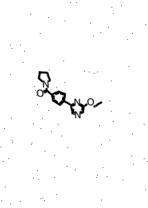 CCOc1cncc(-c2ccc(C(=O)N3CCCC3)cc2)n1